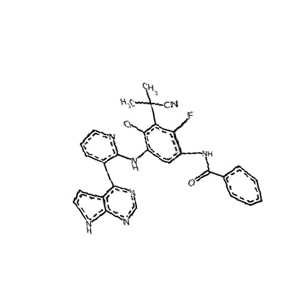 CC(C)(C#N)c1c(F)c(NC(=O)c2ccccc2)cc(Nc2ncccc2-c2ncnc3[nH]ccc23)c1Cl